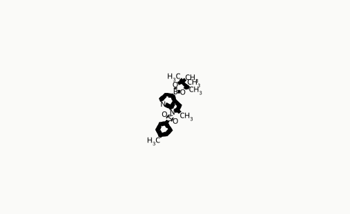 Cc1ccc(S(=O)(=O)n2c(C)cc3c(B4OC(C)(C)C(C)(C)O4)ccnc32)cc1